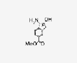 COC(=O)c1ccc2c(c1)C[C@@H](O)C2N